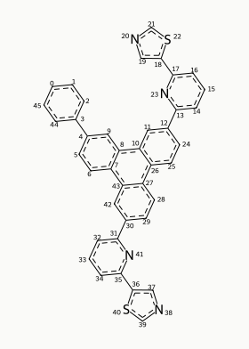 c1ccc(-c2ccc3c(c2)c2cc(-c4cccc(-c5cncs5)n4)ccc2c2ccc(-c4cccc(-c5cncs5)n4)cc23)cc1